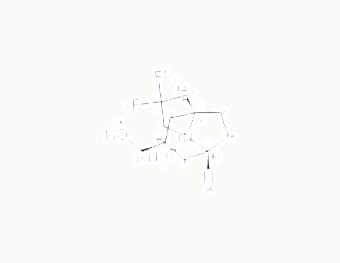 C[N@@+]1(CC(F)(F)F)[C@@H]2CC[C@H]1C[C@H](CO)C2